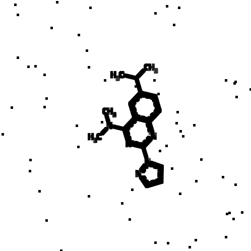 CC(C)c1ccc2nc(-n3cccn3)nc(N(C)C)c2c1